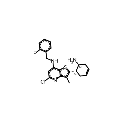 Cc1c([C@H]2CC=CC[C@@H]2N)sc2c(NCc3ccccc3F)cc(Cl)nc12